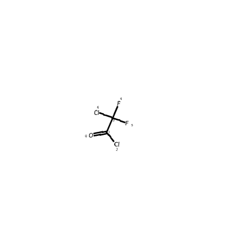 O=C(Cl)C(F)(F)Cl